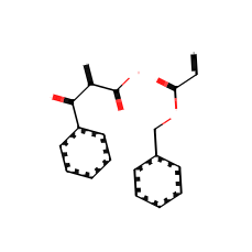 C=C(C(=O)O)C(=O)c1ccccc1.C=CC(=O)OCc1ccccc1